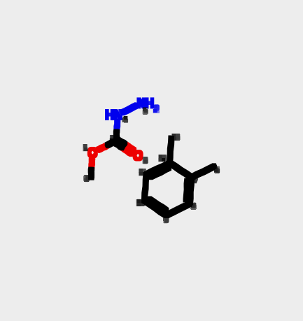 COC(=O)NN.Cc1ccccc1C